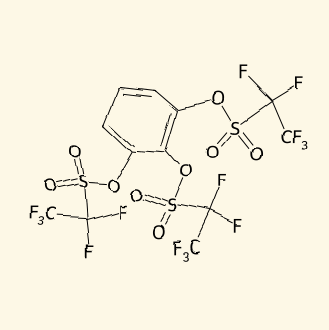 O=S(=O)(Oc1cccc(OS(=O)(=O)C(F)(F)C(F)(F)F)c1OS(=O)(=O)C(F)(F)C(F)(F)F)C(F)(F)C(F)(F)F